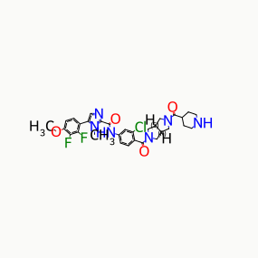 COc1ccc(-c2cnc(C(=O)Nc3ccc(C(=O)N4C[C@@H]5CN(C(=O)C6CCNCC6)C[C@@H]5C4)c(Cl)c3)n2C)c(F)c1F